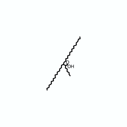 CCCCCCCCCCCCCCCCCC(CCCCCCCCCCCCCCCC)C(CCCCCC)C(=O)O